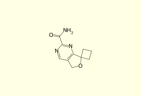 NC(=O)c1ncc2c(n1)C1(CCC1)OC2